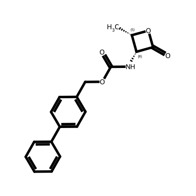 C[C@@H]1OC(=O)[C@@H]1NC(=O)OCc1ccc(-c2ccccc2)cc1